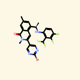 Cc1cc([C@@H](C)Nc2ccc(F)c(F)c2C(F)F)c2cc(-c3cnc(Br)nc3)n(C)c(=O)c2c1